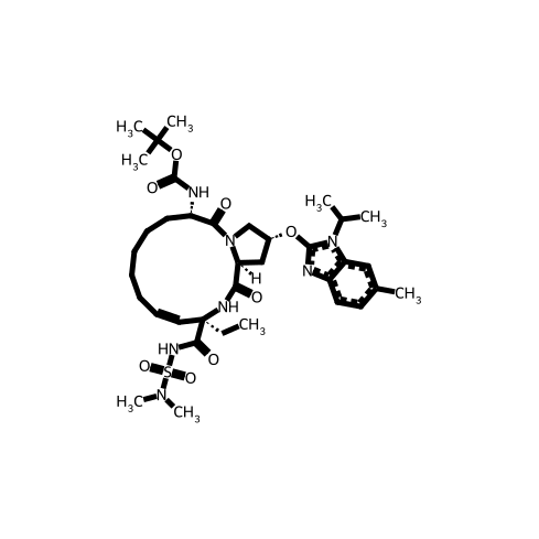 CC[C@]1(C(=O)NS(=O)(=O)N(C)C)/C=C\CCCCC[C@H](NC(=O)OC(C)(C)C)C(=O)N2C[C@H](Oc3nc4ccc(C)cc4n3C(C)C)C[C@H]2C(=O)N1